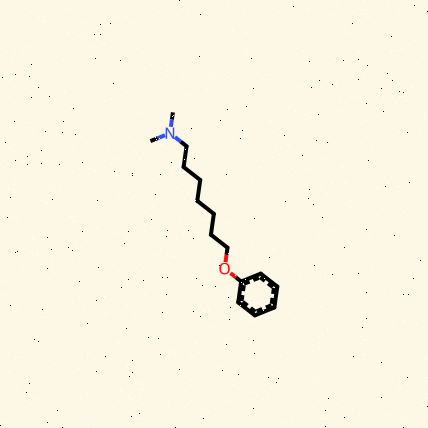 CN(C)CCCCCCCOc1ccccc1